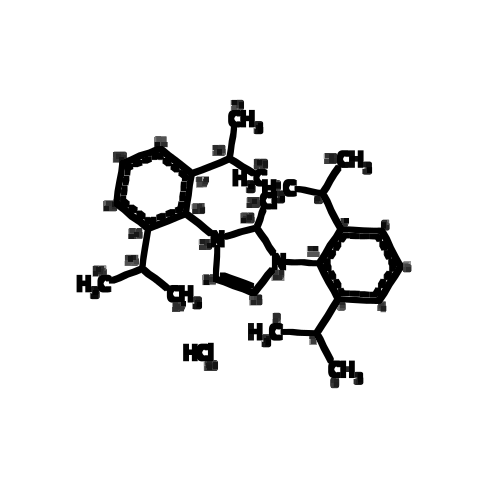 CC(C)c1cccc(C(C)C)c1N1C=CN(c2c(C(C)C)cccc2C(C)C)C1Cl.Cl